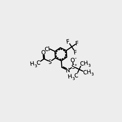 CC(=O)Sc1c(Cl)cc(C(F)(F)F)cc1/C=N\[S+]([O-])C(C)(C)C